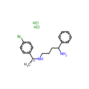 C[C@H](NCCCC(N)c1ccccc1)c1ccc(Br)cc1.Cl.Cl